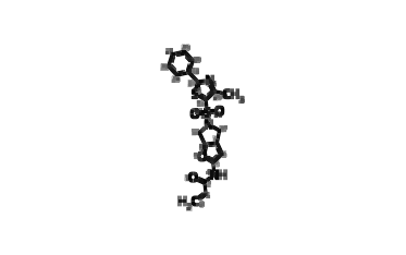 C=CC(=O)Nc1cc2c(o1)CN(S(=O)(=O)c1sc(-c3ccccc3)nc1C)C2